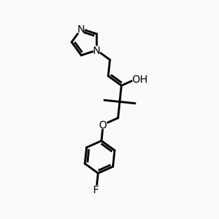 CC(C)(COc1ccc(F)cc1)C(O)=CCn1ccnc1